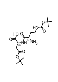 CC(C)(C)OC(=O)C[C@H](NC(=O)[C@@H](N)CCNC(=O)OC(C)(C)C)C(=O)O